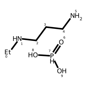 CCNCCCN.O=[PH](O)O